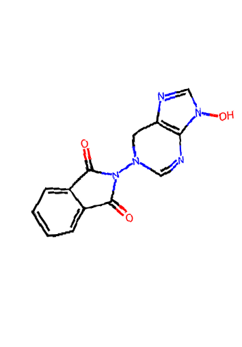 O=C1c2ccccc2C(=O)N1N1C=Nc2c(ncn2O)C1